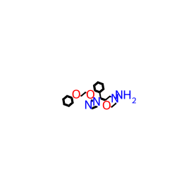 NN1CCOC(=C(c2ccccc2OCCOc2ccccc2)n2ccnc2)C1